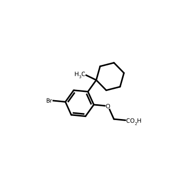 CC1(c2cc(Br)ccc2OCC(=O)O)CCCCC1